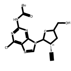 C#C[C@H]1CC(CO)OC1n1cnc2c(Cl)nc(NC(=O)C(C)CC)nc21